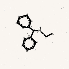 CCNC(c1ccccc1)c1ccccc1